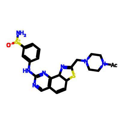 CC(=O)N1CCN(CC2=NC3c4nc(Nc5cccc([S+](N)[O-])c5)ncc4C=CC3S2)CC1